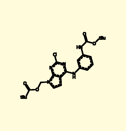 CC(C)(C)OC(=O)Nc1cccc(Nc2nc(Cl)nc3c2ccn3COC(=O)C(C)(C)C)c1